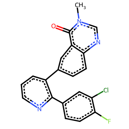 Cn1cnc2ccc(-c3cccnc3-c3ccc(F)c(Cl)c3)cc2c1=O